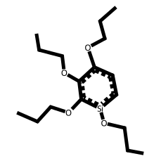 CCCOc1cc[si](OCCC)c(OCCC)c1OCCC